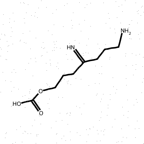 N=C(CCCN)CCCOC(=O)O